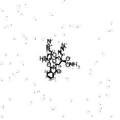 [N-]=[N+]=NCN(C(=O)OC(C=N)(C=N)CN=[N+]=[N-])C(CCN1C(=O)c2ccccc2C1=O)C(=O)ON